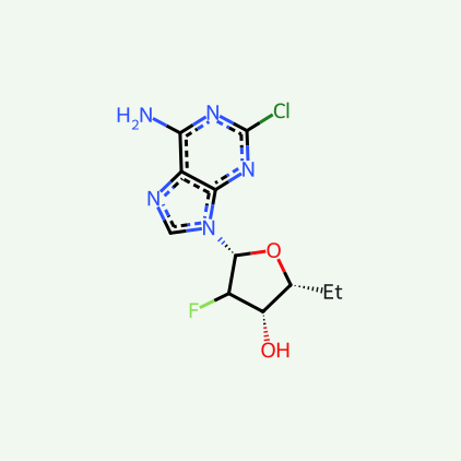 CC[C@H]1O[C@@H](n2cnc3c(N)nc(Cl)nc32)C(F)[C@H]1O